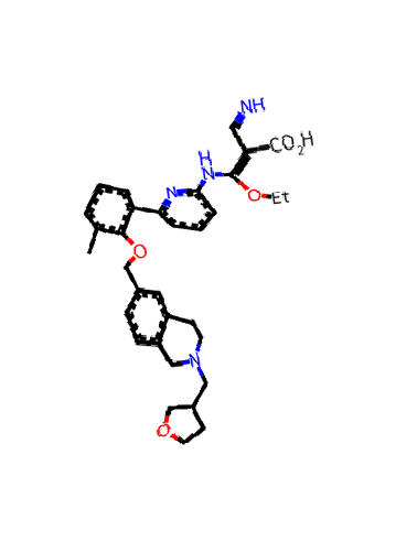 CCO/C(Nc1cccc(-c2cccc(C)c2OCc2ccc3c(c2)CCN(CC2CCOC2)C3)n1)=C(/C=N)C(=O)O